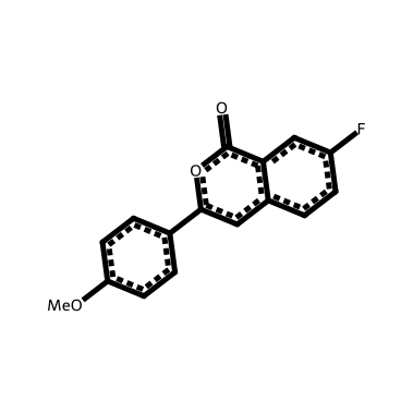 COc1ccc(-c2cc3ccc(F)cc3c(=O)o2)cc1